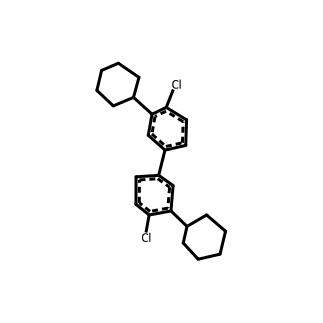 Clc1ccc(-c2ccc(Cl)c(C3CCCCC3)c2)cc1C1CCCCC1